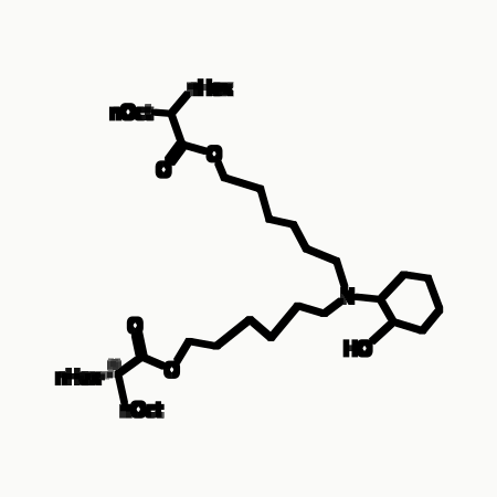 CCCCCCCCC(CCCCCC)C(=O)OCCCCCCN(CCCCCCOC(=O)[C@@H](CCCCCC)CCCCCCCC)C1CCCCC1O